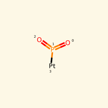 O=[P](=O)[Pt]